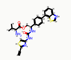 C#Cc1nc(NC(=O)N[C@@H](COC(=O)[C@@H](N)C(C)C)c2ccc(-c3cccc4ncsc34)cc2)cs1